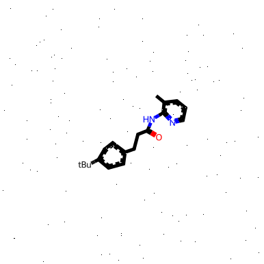 Cc1cccnc1NC(=O)CCc1ccc(C(C)(C)C)cc1